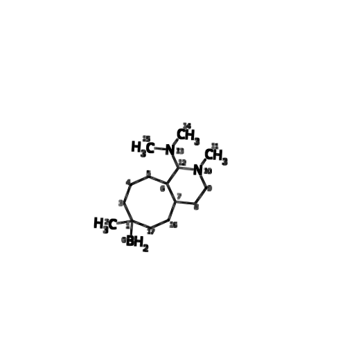 BC1(C)CCCC2C(CCN(C)C2N(C)C)CC1